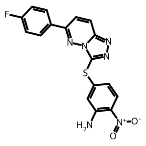 Nc1cc(Sc2nnc3ccc(-c4ccc(F)cc4)nn23)ccc1[N+](=O)[O-]